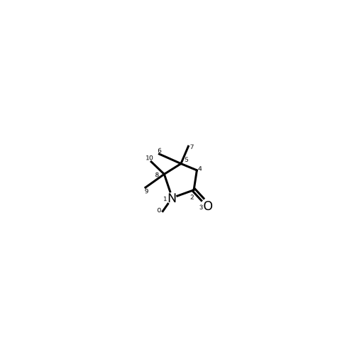 CN1C(=O)CC(C)(C)C1(C)C